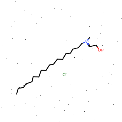 CCCCCCCCCCCCCCCCCC[N+](C)=CCO.[Cl-]